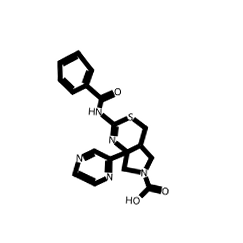 O=C(NC1=NC2(c3cnccn3)CN(C(=O)O)CC2CS1)c1ccccc1